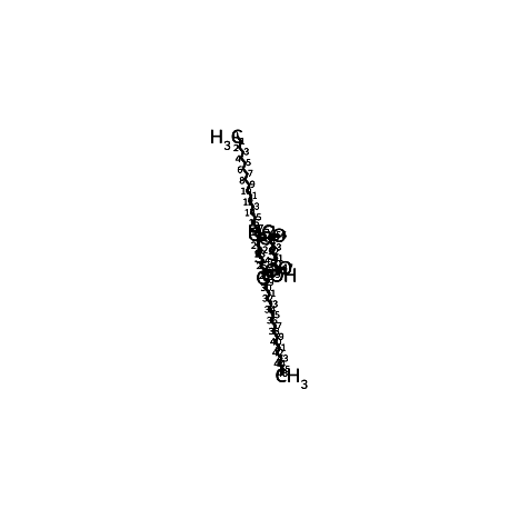 CCCCCCCCCCCCCCCCCCOC(=O)CCSCCC(=O)OCCCCCCCCCCCCCCCCCC.O=C(O)CCSCCC(=O)O